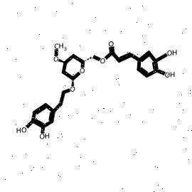 CO[C@H]1C[C@H](COC(=O)/C=C/c2ccc(O)c(O)c2)O[C@@H](OCCc2ccc(O)c(O)c2)C1